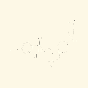 O=C(NCCC1(CC2CC2)CCC(S(=O)(=O)CC2CC2)CC1)c1ccc(Cl)cc1Cl